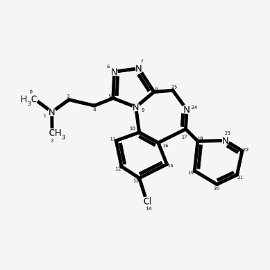 CN(C)CCc1nnc2n1-c1ccc(Cl)cc1C(c1ccccn1)=NC2